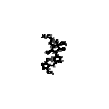 CCCN1C(=O)N(c2cnn(Cc3c(C)noc3C)c2)C(=O)C1(C)C